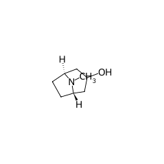 CN1[C@H]2CC[C@H]1CC(O)C2